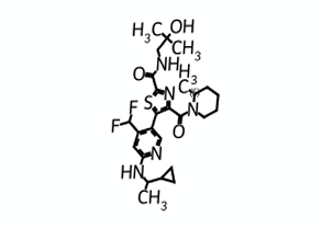 CC(Nc1cc(C(F)F)c(-c2sc(C(=O)NCC(C)(C)O)nc2C(=O)N2CCCC[C@@H]2C)cn1)C1CC1